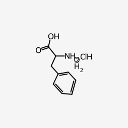 Cl.NC(Cc1ccccc1)C(=O)O.O